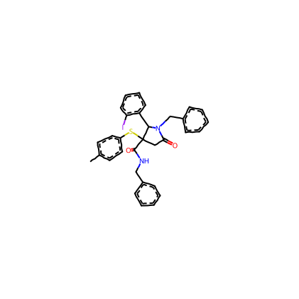 Cc1ccc(SC2(C(=O)NCc3ccccc3)CC(=O)N(Cc3ccccc3)C2c2ccccc2I)cc1